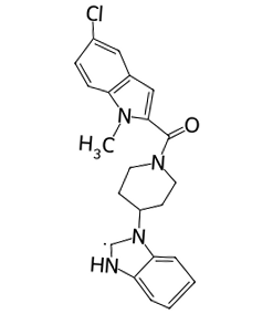 Cn1c(C(=O)N2CCC(N3[CH]Nc4ccccc43)CC2)cc2cc(Cl)ccc21